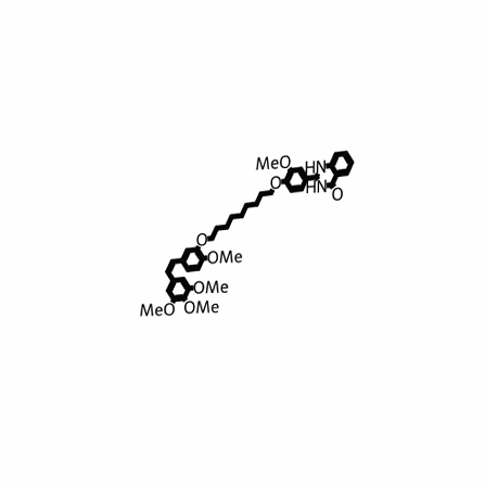 COc1cc(C2NC(=O)c3ccccc3N2)ccc1OCCCCCCCCCOc1cc(/C=C\c2cc(OC)c(OC)c(OC)c2)ccc1OC